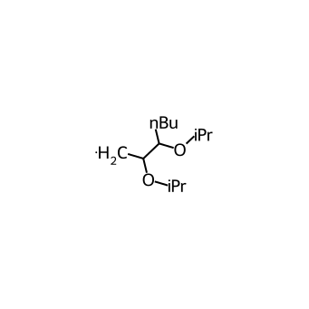 [CH2]C(OC(C)C)C(CCCC)OC(C)C